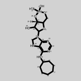 B[PH]1(O)OCC2OC(N3CNc4c(NC5CCCCCC5)ncnc43)C(O)[C@@H]2O1